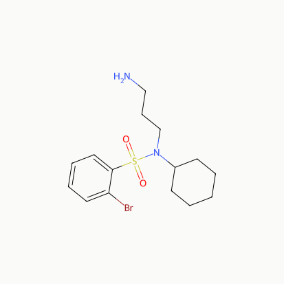 NCCCN(C1CCCCC1)S(=O)(=O)c1ccccc1Br